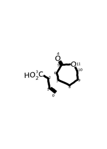 C=CCC(=O)O.O=C1CCCCCO1